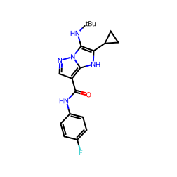 CC(C)(C)Nc1c(C2CC2)[nH]c2c(C(=O)Nc3ccc(F)cc3)cnn12